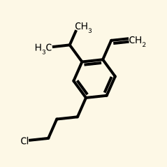 C=Cc1ccc(CCCCl)cc1C(C)C